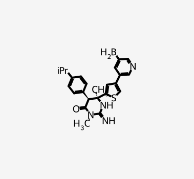 Bc1cncc(-c2csc([C@@]3(C)NC(=N)N(C)C(=O)[C@H]3c3ccc(C(C)C)cc3)c2)c1